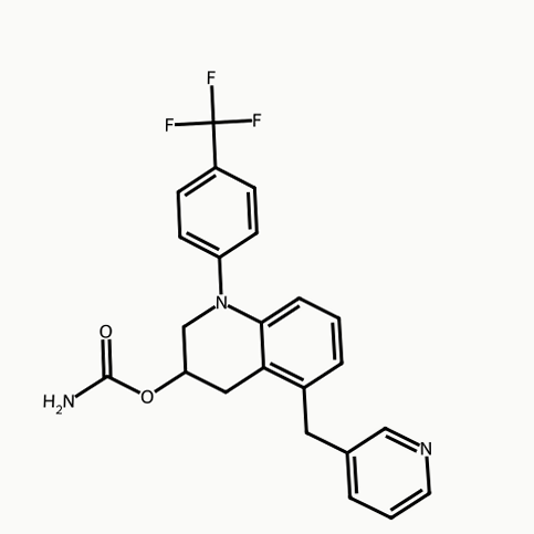 NC(=O)OC1Cc2c(Cc3cccnc3)cccc2N(c2ccc(C(F)(F)F)cc2)C1